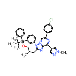 C[C@@H](CO[Si](c1ccccc1)(c1ccccc1)C(C)(C)C)Cc1nc2c(-c3cnn(C)c3)nc(-c3ccc(Cl)cc3)cn2n1